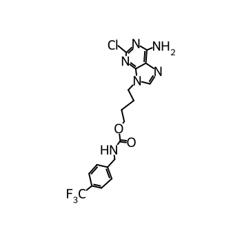 Nc1nc(Cl)nc2c1ncn2CCCCOC(=O)NCc1ccc(C(F)(F)F)cc1